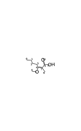 CCCC/C(OC)=C(/C)C(=O)O